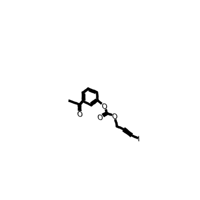 CC(=O)c1cccc(OC(=O)OCC#CI)c1